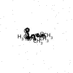 CCc1nc(-c2nnn(C)c2COC2CCCCO2)ccc1N1CC[C@@H]([C@@H](C)C(=O)OC)C1